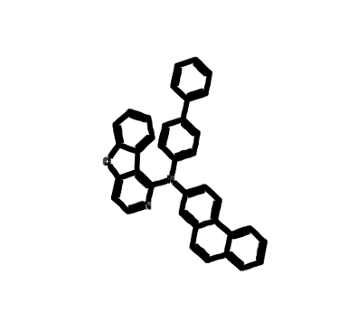 c1ccc(-c2ccc(N(c3ccc4c(ccc5ccccc54)c3)c3nccc4oc5ccccc5c34)cc2)cc1